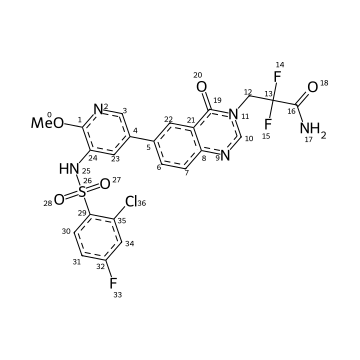 COc1ncc(-c2ccc3ncn(CC(F)(F)C(N)=O)c(=O)c3c2)cc1NS(=O)(=O)c1ccc(F)cc1Cl